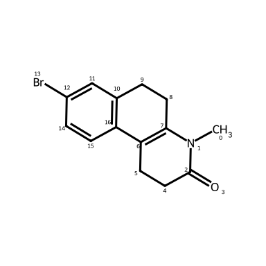 CN1C(=O)CCC2=C1CCc1cc(Br)ccc12